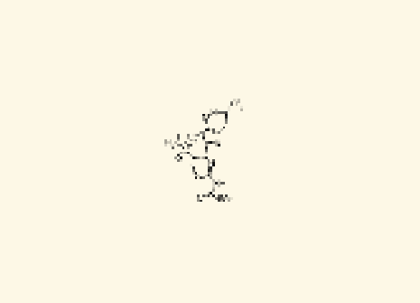 CNC(=O)Nc1ccc(S(C)(=O)=O)c(-c2nc3cc(C(F)(F)F)nnc3n2C)n1